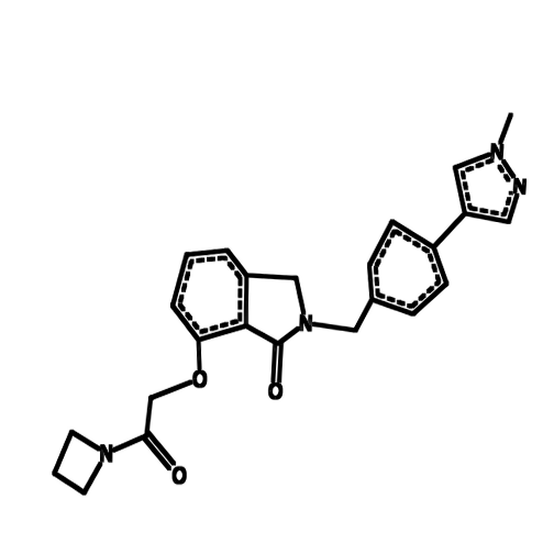 Cn1cc(-c2ccc(CN3Cc4cccc(OCC(=O)N5CCC5)c4C3=O)cc2)cn1